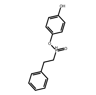 O=[PH](CCc1ccccc1)Oc1ccc(O)cc1